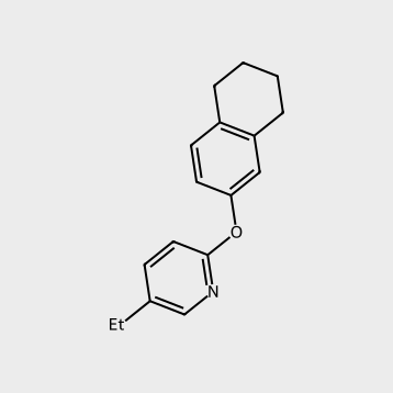 CCc1ccc(Oc2ccc3c(c2)CCCC3)nc1